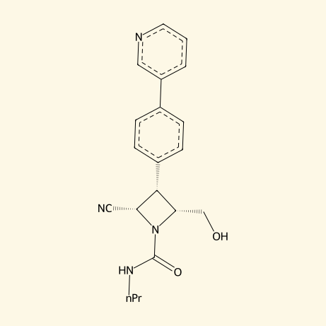 CCCNC(=O)N1[C@H](C#N)[C@H](c2ccc(-c3cccnc3)cc2)[C@@H]1CO